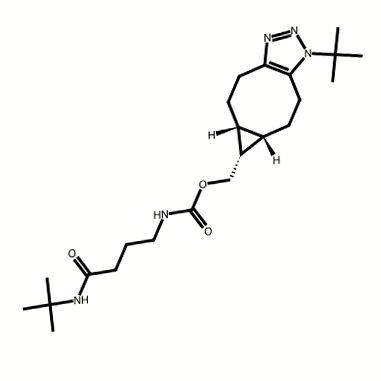 CC(C)(C)NC(=O)CCCNC(=O)OC[C@@H]1[C@@H]2CCc3nnn(C(C)(C)C)c3CC[C@@H]21